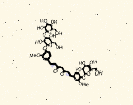 COc1cc(/C=C/C(=O)CC(=O)/C=C/c2ccc(O[C@@H]3O[C@H](CO)[C@@H](O)[C@H](O[C@@H]4O[C@H](CO)[C@@H](O)[C@H](O)[C@H]4O)[C@H]3O)c(OC)c2)ccc1OC1O[C@H](CO)[C@@H](O)[C@H](O)[C@H]1O